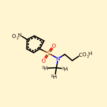 [2H]C([2H])([2H])N(CCC(=O)O)S(=O)(=O)c1ccc([N+](=O)[O-])cc1